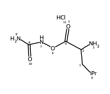 CC(C)CC(N)C(=O)ONC(N)=O.Cl